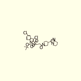 CC(C)(C)OC(=O)n1c(S(=O)(=O)CCC(=O)N2CCC(c3cnc4n3CCCC4)CC2)c(Cl)c2cc(Cl)ccc21